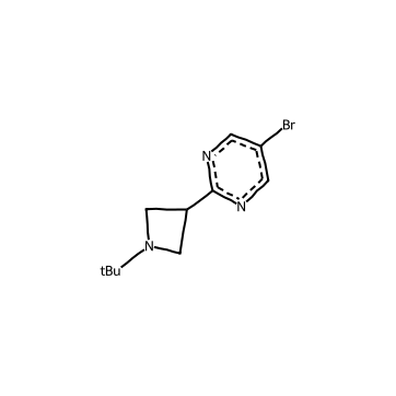 CC(C)(C)N1CC(c2ncc(Br)cn2)C1